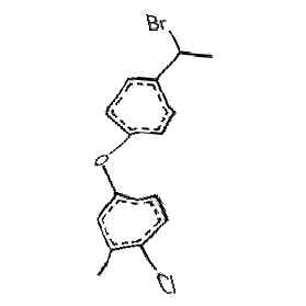 Cc1cc(Oc2ccc(C(C)Br)cc2)ccc1Cl